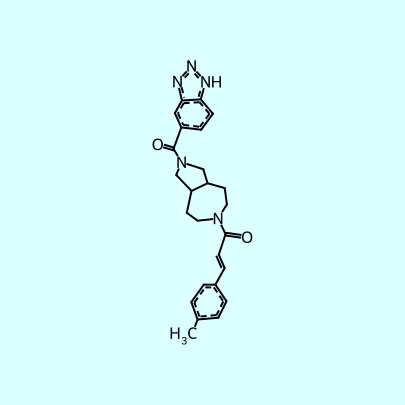 Cc1ccc(/C=C/C(=O)N2CCC3CN(C(=O)c4ccc5[nH]nnc5c4)CC3CC2)cc1